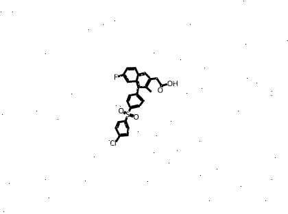 Cc1c(CC(=O)O)cc2ccc(F)cc2c1-c1ccc(S(=O)(=O)c2ccc(Cl)cc2)cc1